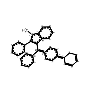 Cn1c(-c2ccccc2)c(C(c2ccccc2)=c2ccc(=C3[C]=CC=CC3)cc2)c2ccccc21